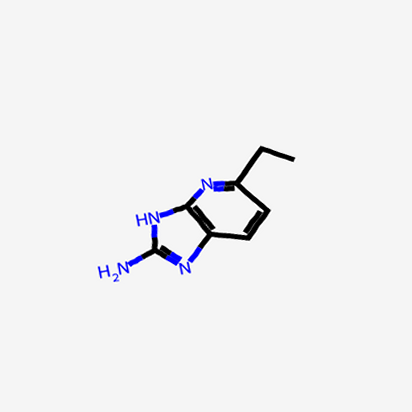 CCc1ccc2nc(N)[nH]c2n1